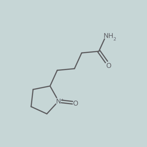 NC(=O)CCCC1CCC[N+]1=O